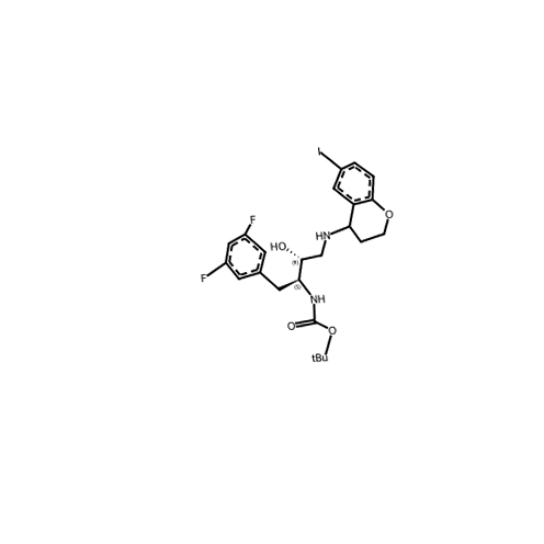 CC(C)(C)OC(=O)N[C@@H](Cc1cc(F)cc(F)c1)[C@H](O)CNC1CCOc2ccc(I)cc21